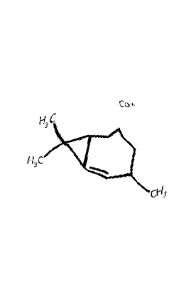 CC1C=C2C(CC1)C2(C)C.[Co+]